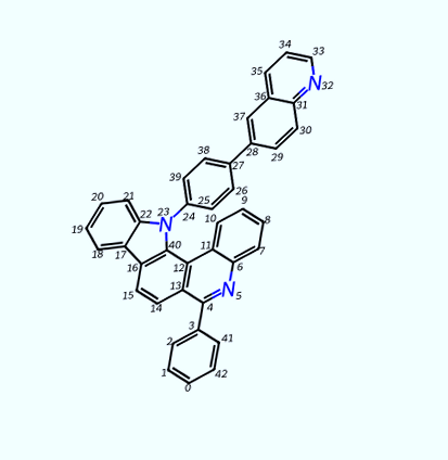 c1ccc(-c2nc3ccccc3c3c2ccc2c4ccccc4n(-c4ccc(-c5ccc6ncccc6c5)cc4)c23)cc1